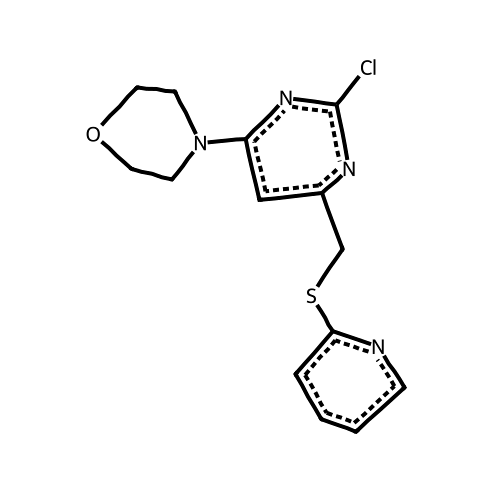 Clc1nc(CSc2ccccn2)cc(N2CCOCC2)n1